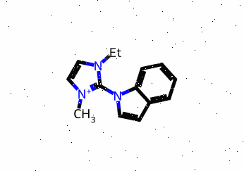 CCn1cc[n+](C)c1-n1ccc2ccccc21